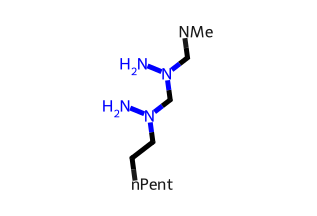 CCCCCCCN(N)CN(N)CNC